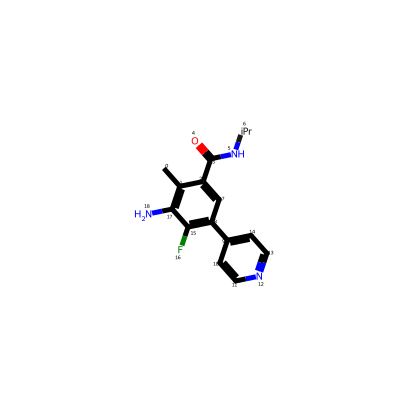 Cc1c(C(=O)NC(C)C)cc(-c2ccncc2)c(F)c1N